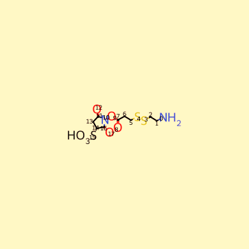 NCCSSCCC(=O)ON1C(=O)CC(S(=O)(=O)O)C1=O